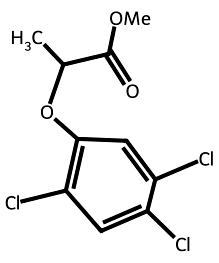 COC(=O)C(C)Oc1cc(Cl)c(Cl)cc1Cl